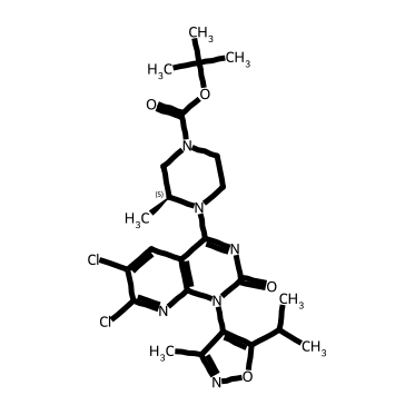 Cc1noc(C(C)C)c1-n1c(=O)nc(N2CCN(C(=O)OC(C)(C)C)C[C@@H]2C)c2cc(Cl)c(Cl)nc21